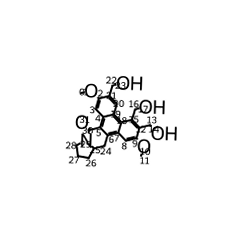 COc1cc2c3c(c4cc(OC)c(CO)c(CO)c4c2cc1CO)CC1CCCN1C3=O